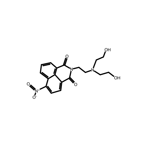 O=C1c2cccc3c([N+](=O)[O-])ccc(c23)C(=O)N1CCN(CCO)CCO